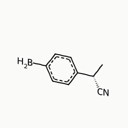 Bc1ccc([C@H](C)C#N)cc1